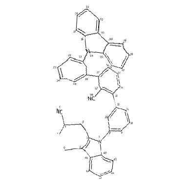 Cc1c(CC(C)C#N)n(-c2cccc(-c3cccc(-c4ccccc4-n4c5ccccc5c5ccccc54)c3C#N)c2)c2ccccc12